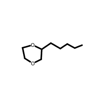 CCCCCC1COCCO1